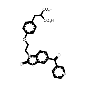 O=C(c1cccnc1)c1ccc2c(c1)sc(=O)n2CCOc1ccc(CC(C(=O)O)C(=O)O)cc1